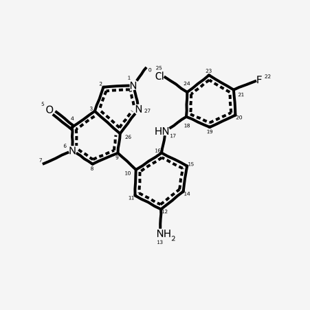 Cn1cc2c(=O)n(C)cc(-c3cc(N)ccc3Nc3ccc(F)cc3Cl)c2n1